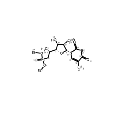 CCOP(=O)(C[C@H](C)[C@H]1O[C@@H](n2cc(C)c(=O)[nH]c2=O)[C@H](C=O)[C@@H]1O)OCC